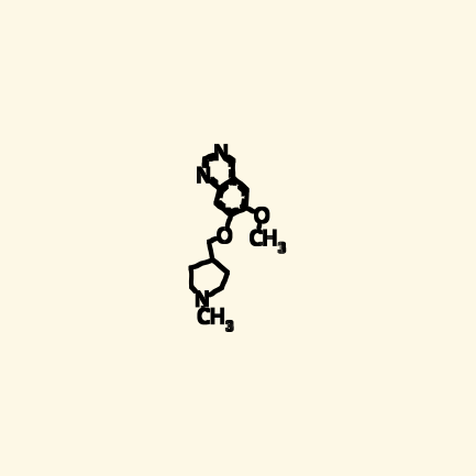 COc1cc2cncnc2cc1OCC1CCN(C)CC1